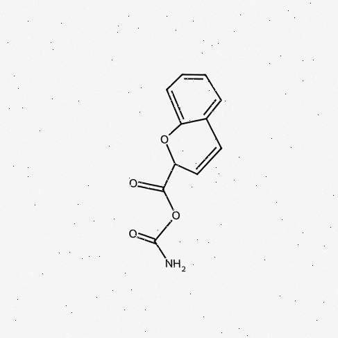 NC(=O)OC(=O)C1C=Cc2ccccc2O1